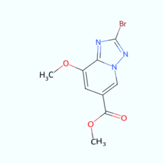 COC(=O)c1cc(OC)c2nc(Br)nn2c1